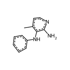 Cc1ccnc(N)c1Nc1ccccc1